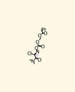 CC(C)C(=O)OCOC(=O)O/N=C(\Cl)C(=O)N(C)C